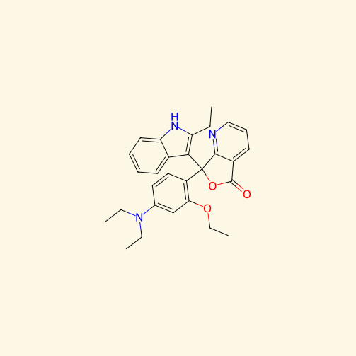 CCOc1cc(N(CC)CC)ccc1C1(c2c(CC)[nH]c3ccccc23)OC(=O)c2cccnc21